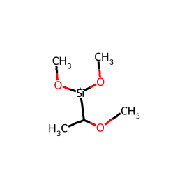 COC(C)[Si](OC)OC